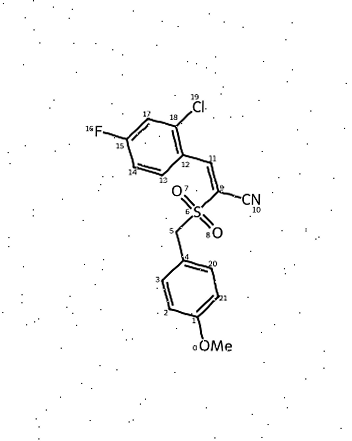 COc1ccc(CS(=O)(=O)/C(C#N)=C\c2ccc(F)cc2Cl)cc1